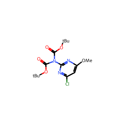 COc1cc(Cl)nc(N(C(=O)OC(C)(C)C)C(=O)OC(C)(C)C)n1